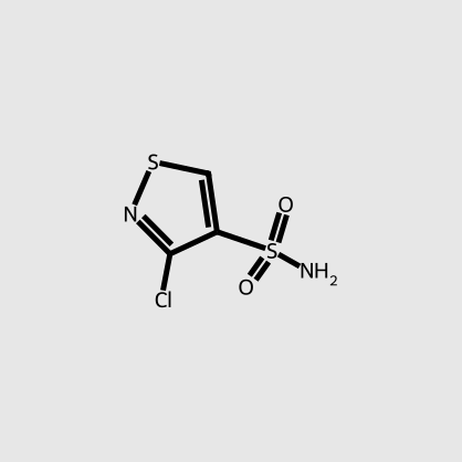 NS(=O)(=O)c1csnc1Cl